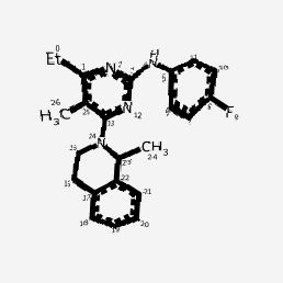 CCc1nc(Nc2ccc(F)cc2)nc(N2CCc3ccccc3C2C)c1C